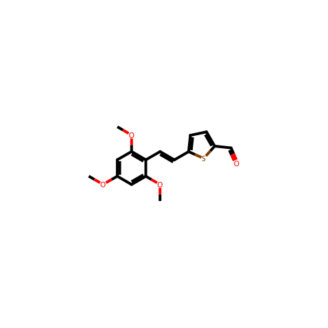 COc1cc(OC)c(C=Cc2ccc(C=O)s2)c(OC)c1